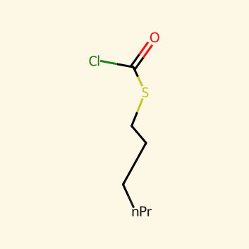 CCCCCCSC(=O)Cl